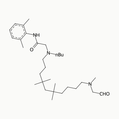 CCCCN(CCCC(C)(C)CC(C)(C)CCCCN(C)CC=O)CC(=O)Nc1c(C)cccc1C